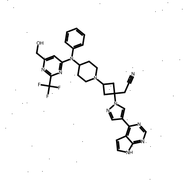 N#CCC1(n2cc(-c3ncnc4[nH]ccc34)cn2)CC(N2CCC(N(c3ccccc3)c3cc(CO)nc(C(F)(F)F)n3)CC2)C1